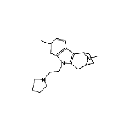 Cc1ccc2c3c(n(CCN4CCCC4)c2c1)CC1CCC3N1C